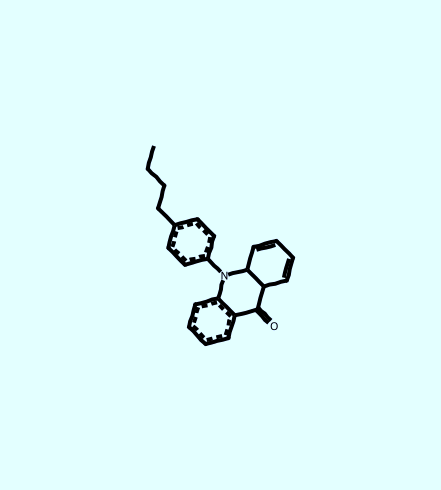 CCCCc1ccc(N2c3ccccc3C(=O)C3C=CC=CC32)cc1